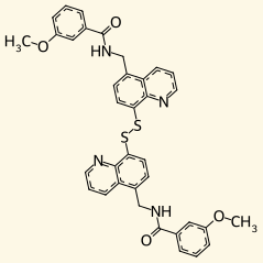 COc1cccc(C(=O)NCc2ccc(SSc3ccc(CNC(=O)c4cccc(OC)c4)c4cccnc34)c3ncccc23)c1